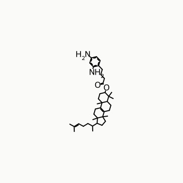 CC(C)=CCCC(C)C1CCC2(C)C3=C(CCC12C)C1(C)CCC(OC(=O)CCCc2ccc(N)cc2N)C(C)(C)C1CC3